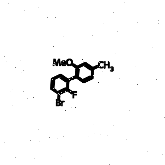 COc1cc(C)ccc1-c1cccc(Br)c1F